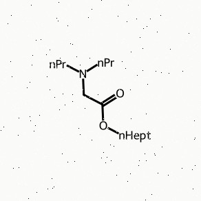 CCCCCCCOC(=O)CN(CCC)CCC